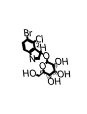 [2H]C1(OC2O[C@H](CO)[C@@H](O)[C@H](O)[C@H]2O)C=Nc2ccc(Br)c(Cl)c21